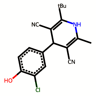 CC1=C(C#N)C(c2ccc(O)c(Cl)c2)C(C#N)=C(C(C)(C)C)N1